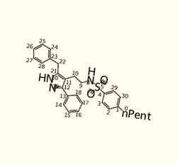 CCCCCc1ccc(S(=O)(=O)NCCc2c(-c3ccccc3)n[nH]c2Cc2ccccc2)cc1